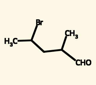 CC(Br)CC(C)C=O